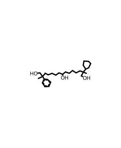 CC(CO)(CCCCCC(O)CCCCCC(C)(CO)C1CCCCC1)c1ccccc1